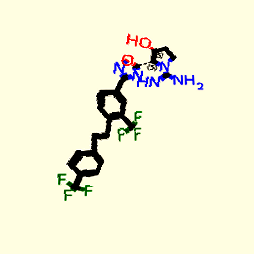 N=C(N)N1CC[C@H](O)[C@H]1c1nc(-c2ccc(CCc3ccc(C(F)(F)F)cc3)c(C(F)(F)F)c2)no1